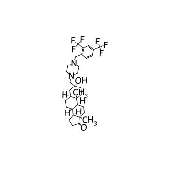 C[C@]12CC[C@](O)(CN3CCN(Cc4ccc(C(F)(F)F)cc4C(F)(F)F)CC3)C[C@@H]1CC[C@@H]1[C@@H]2CC[C@]2(C)C(=O)CC[C@@H]12